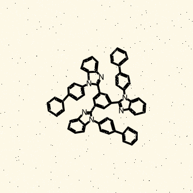 c1ccc(-c2ccc(-n3c(-c4cc(-c5nc6ccccc6n5-c5ccc(-c6ccccc6)cc5)cc(-c5nc6ccccc6n5-c5ccc(-c6ccccc6)cc5)c4)nc4ccccc43)cc2)cc1